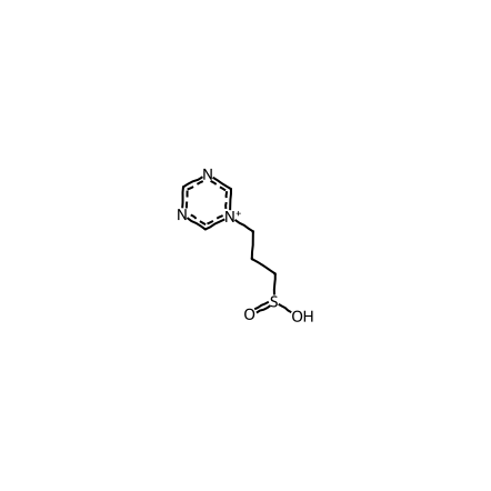 O=S(O)CCC[n+]1cncnc1